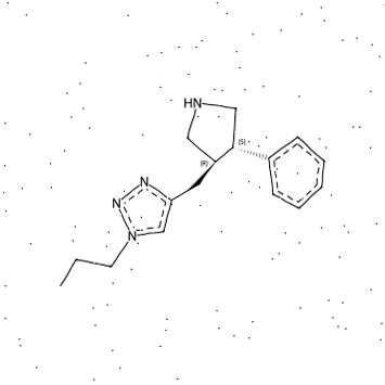 CCCn1cc(C[C@H]2CNC[C@@H]2c2ccccc2)nn1